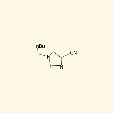 CCCCCN1C=NC(C#N)C1